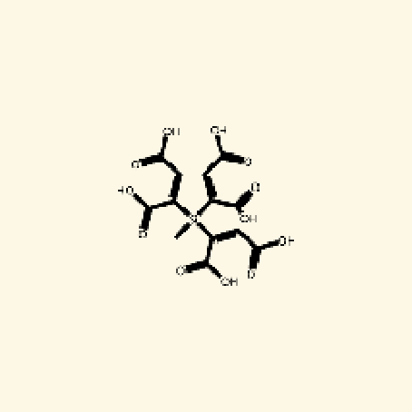 C[Si](C(=CC(=O)O)C(=O)O)(C(=CC(=O)O)C(=O)O)C(=CC(=O)O)C(=O)O